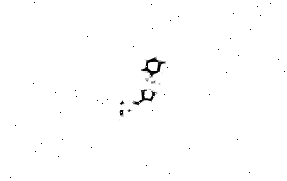 C=CS(=O)(=O)NCC1CCN(S(=O)(=O)c2cc(F)ccc2F)C1